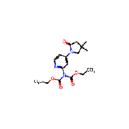 CC1(C)CC(=O)N(c2ccnc(N(C(=O)OCC(Cl)(Cl)Cl)C(=O)OCC(Cl)(Cl)Cl)c2)C1